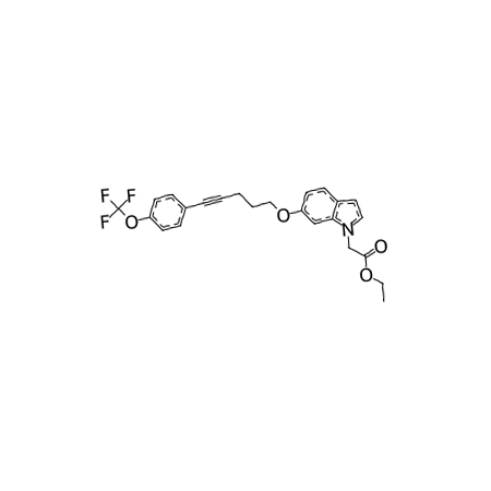 CCOC(=O)Cn1ccc2ccc(OCCCC#Cc3ccc(OC(F)(F)F)cc3)cc21